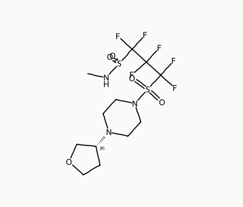 CNS(=O)(=O)C(F)(F)C(F)(F)C(F)(F)S(=O)(=O)N1CCN([C@@H]2CCOC2)CC1